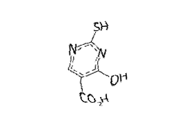 O=C(O)c1cnc(S)nc1O